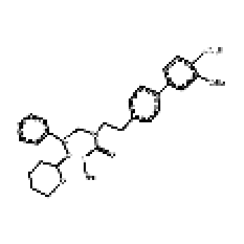 CC(C)COc1cc(-c2ccc(CCN(C[C@@H](OC3CCCCO3)c3ccccc3)C(=O)OC(C)(C)C)cc2)ccc1C(=O)O